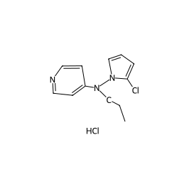 CCCN(c1ccncc1)n1cccc1Cl.Cl